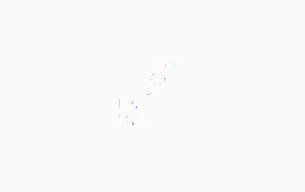 CC(C)Oc1ccc2c(c1)CCC(CN(O)C(N)=O)=C2